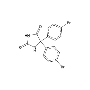 O=C1NC(=S)NC1(c1ccc(Br)cc1)c1ccc(Br)cc1